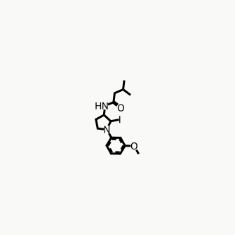 COc1cccc(N2CCC(NC(=O)CC(C)C)C2I)c1